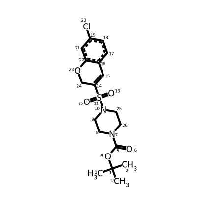 CC(C)(C)OC(=O)N1CCN(S(=O)(=O)C2=Cc3ccc(Cl)cc3OC2)CC1